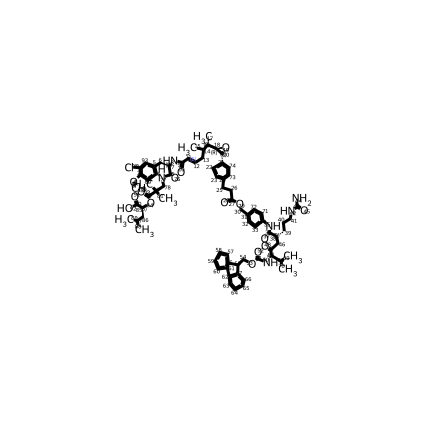 COc1ccc(C[C@@H](NC(=O)/C=C/CC(C)[C@H](C)[C@H]2O[C@@H]2c2ccc(CCC(=O)OCc3ccc(NC(=O)[C@H](CCCNC(N)=O)CC(=O)[C@@H](NC(=O)OCC4c5ccccc5-c5ccccc54)C(C)C)cc3)cc2)C(=O)NCC(C)(C)C(=O)O[C@@H](CC(C)C)C(=O)O)cc1Cl